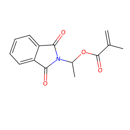 C=C(C)C(=O)OC(C)N1C(=O)c2ccccc2C1=O